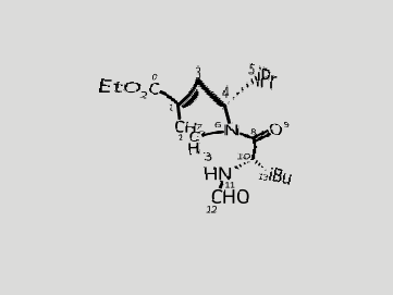 CCOC(=O)/C(C)=C/[C@H](C(C)C)N(C)C(=O)[C@@H](NC=O)[C@@H](C)CC